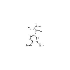 CNc1ccc(C2=C(Cl)SCC2)cc1N